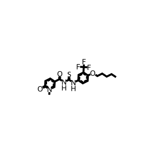 CCCCCOc1ccc(NC(=S)NC(=O)c2ccc(=O)n(C)c2)cc1C(F)(F)F